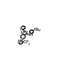 CC(C)(C)c1ccc(Nc2nc(-c3ccccn3)nc3c2CCN(c2ncccc2C(F)(F)F)CC3)cc1